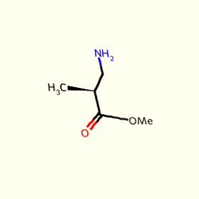 COC(=O)[C@@H](C)CN